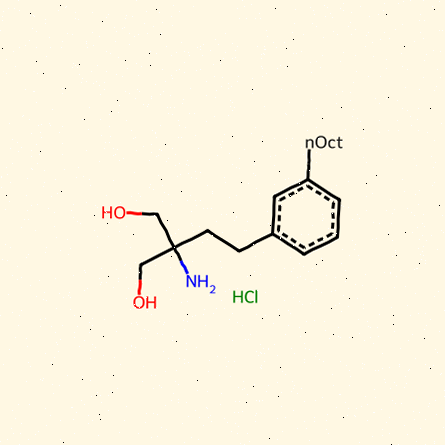 CCCCCCCCc1cccc(CCC(N)(CO)CO)c1.Cl